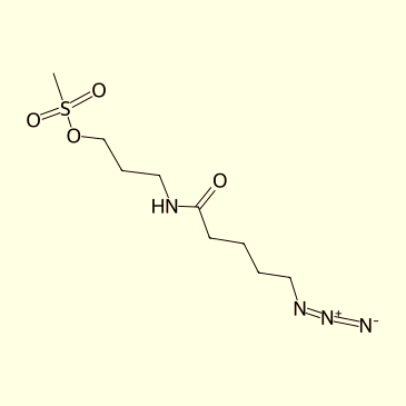 CS(=O)(=O)OCCCNC(=O)CCCCN=[N+]=[N-]